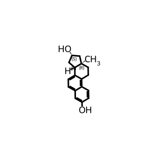 C[C@]12CCc3c(ccc4cc(O)ccc34)[C@@H]1C[C@H](O)C2